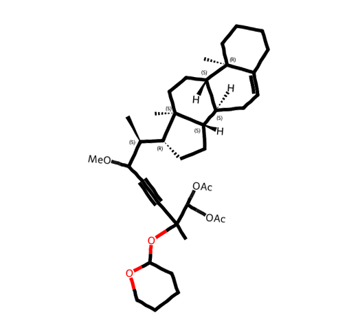 COC(C#CC(C)(OC1CCCCO1)C(OC(C)=O)OC(C)=O)[C@@H](C)[C@H]1CC[C@H]2[C@@H]3CC=C4CCCC[C@]4(C)[C@H]3CC[C@]12C